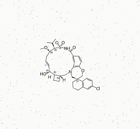 CO[C@@H]1C/C=C/[C@H](O)[C@@H]2CC[C@H]2CN2C[C@@]3(CCCc4cc(Cl)ccc43)COc3ccc(cc32)C(=O)NS(=O)(=O)[C@@H]1C(C)C